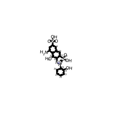 Nc1cc(S(=O)(=O)O)cc2cc(S(=O)(=O)O)c(/N=N/c3ccccc3O)c(O)c12